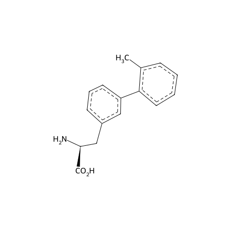 Cc1ccccc1-c1cccc(C[C@H](N)C(=O)O)c1